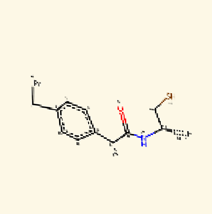 CC(C)Cc1ccc([C@@H](C)C(=O)N[C@@H](CS)C(=O)O)cc1